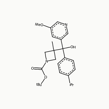 COc1cncc(C(O)(c2ccc(C(C)C)cc2)C2(C)CN(C(=O)OC(C)(C)C)C2)c1